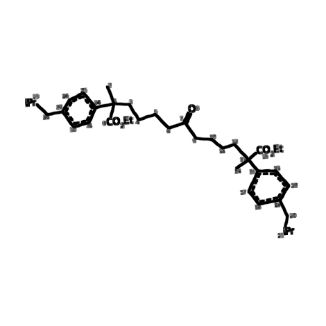 CCOC(=O)C(C)(CCCCC(=O)CCCCC(C)(C(=O)OCC)c1ccc(CC(C)C)cc1)c1ccc(CC(C)C)cc1